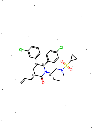 C=CC[C@H]1C[C@H](c2cccc(Cl)c2)[C@@H](c2ccc(Cl)cc2)N([C@@H](CC)CN(C)S(=O)(=O)C2CC2)C1=O